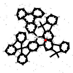 CC1(C)c2ccccc2-c2ccc(-c3cc4c(cc3N(c3ccc5c6ccccc6c6ccccc6c5c3)c3cccc5c3C(C)(C)c3ccccc3-5)C3(c5ccccc5-c5ccccc53)c3ccccc3-4)cc21